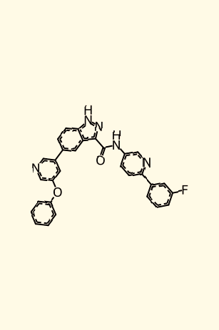 O=C(Nc1ccc(-c2cccc(F)c2)nc1)c1n[nH]c2ccc(-c3cncc(Oc4ccccc4)c3)cc12